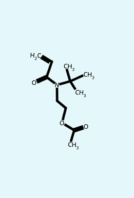 C=CC(=O)N(CCOC(C)=O)C(C)(C)C